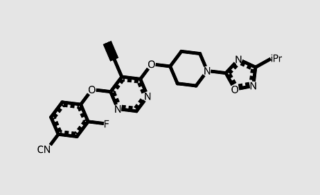 [C-]#[N+]c1ccc(Oc2ncnc(OC3CCN(c4nc(C(C)C)no4)CC3)c2C#C)c(F)c1